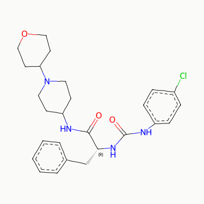 O=C(Nc1ccc(Cl)cc1)N[C@H](Cc1ccccc1)C(=O)NC1CCN(C2CCOCC2)CC1